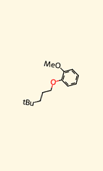 COc1ccccc1OCCCC(C)(C)C